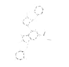 COC(=O)c1cc2c(cc(C)n2Cc2ccccc2)c(-c2ccc(C)n2Cc2ccccc2)n1